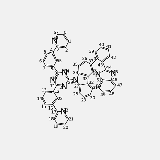 c1ccc(-c2cccc(-c3nc(-c4cccc(-c5ccccn5)c4)nc(-n4c5ccccc5c5c4ccc4c6ccccc6c6nc7ccccc7n6c45)n3)c2)nc1